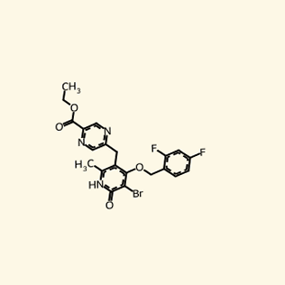 CCOC(=O)c1cnc(Cc2c(C)[nH]c(=O)c(Br)c2OCc2ccc(F)cc2F)cn1